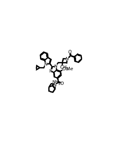 COc1cc(C(=O)N2CC3CCC2C3N)cc2nc(-c3cc4ccccc4n3CC3CC3)n(CC3(C)CN(C(=O)c4ccccc4)C3)c12